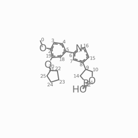 COc1ccc(-c2cc(C3COB(O)C3)ccn2)cc1OC1CCCC1